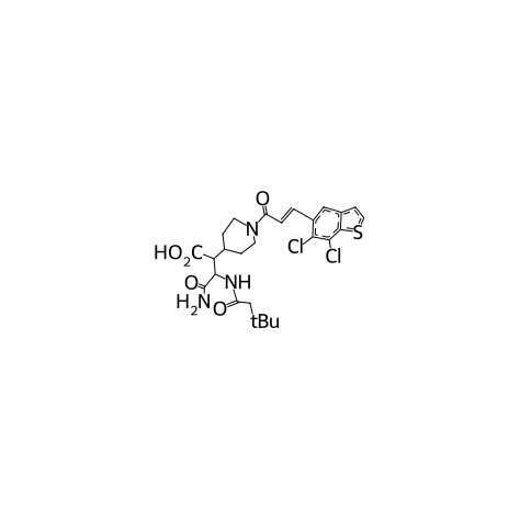 CC(C)(C)CC(=O)NC(C(N)=O)C(C(=O)O)C1CCN(C(=O)/C=C/c2cc3ccsc3c(Cl)c2Cl)CC1